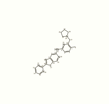 Cc1ccc(Nc2cc3nc(-c4ncccn4)sc3cn2)nc1CN1CCCC1